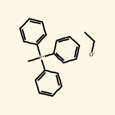 CC[O-].C[P+](c1ccccc1)(c1ccccc1)c1ccccc1